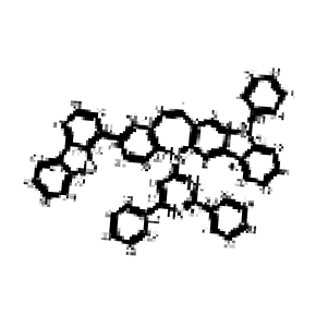 C1=Cc2cc3c(cc2N(c2cc(-c4ccccc4)nc(-c4ccccc4)n2)c2ccc(-c4cccc5c4oc4ccccc45)cc21)c1ccccc1n3-c1ccccc1